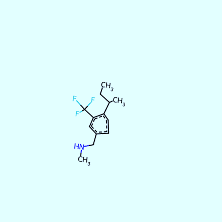 CCC(C)c1ccc(CNC)cc1C(F)(F)F